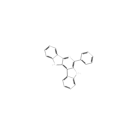 c1ccc(-c2nc3c4ccccc4[nH]c3c3c2[nH]c2ccccc23)cc1